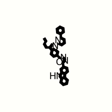 C=C/C=C\c1cn(-c2cccc(-c3ccccc3)n2)c2cc(-c3nnc(-c4ccc5c(c4)[nH]c4ccccc45)o3)ccc12